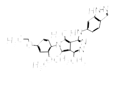 CCOc1ccc(-n2c(C)c3c(C)nnc(Nc4ccc5cn[nH]c5c4)c3c2C)c(OC)c1